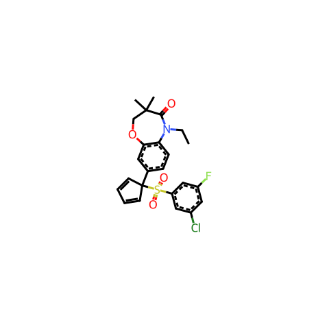 CCN1C(=O)C(C)(C)COc2cc(C3(S(=O)(=O)c4cc(F)cc(Cl)c4)C=CC=C3)ccc21